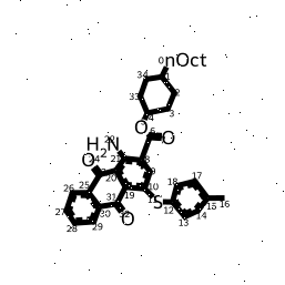 CCCCCCCCC1CCC(OC(=O)c2cc(Sc3ccc(C)cc3)c3c(c2N)C(=O)c2ccccc2C3=O)CC1